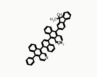 C=Cc1c(/C=C\N)c(-c2ccc3c(c2)C(C)(C)c2ccccc2-3)c2ccccc2c1-c1ccc(-c2c3ccccc3c(-c3ccccc3)c3ccncc23)c2ccccc12